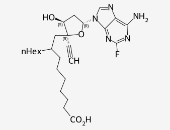 C#C[C@@]1(CC(CCCCCC)CCCCCCC(=O)O)O[C@@H](n2cnc3c(N)nc(F)nc32)C[C@@H]1O